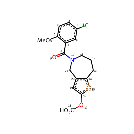 COc1ccc(Cl)cc1C(=O)N1CCCc2sc(OC(=O)O)cc2C1